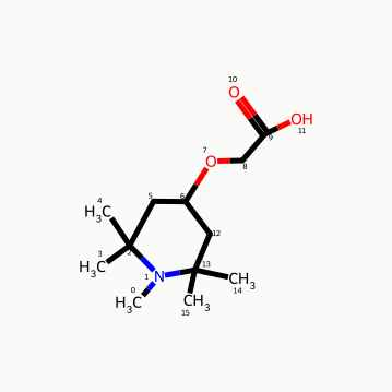 CN1C(C)(C)CC(OCC(=O)O)CC1(C)C